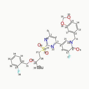 Cc1cc(-c2cc(F)c(=O)n(Cc3ccc4c(c3)OCO4)c2)nc(S(=O)(=O)CCC(OCc2ccccc2F)C(C)(C)C)n1